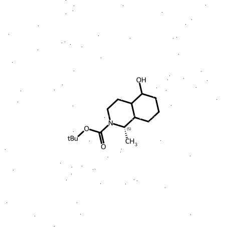 C[C@H]1C2CCCC(O)C2CCN1C(=O)OC(C)(C)C